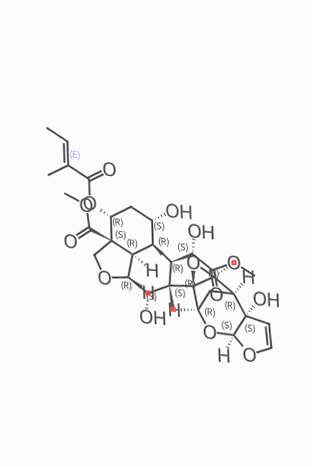 C/C=C(\C)C(=O)O[C@@H]1C[C@H](O)[C@]2(C)[C@@H]([C@H](O)C(=O)OC)[C@](C)([C@]34O[C@@]3(C)[C@@H]3C[C@H]4O[C@@H]4OC=C[C@@]43O)[C@H](O)[C@@H]3OC[C@@]1(C(=O)OC)[C@H]32